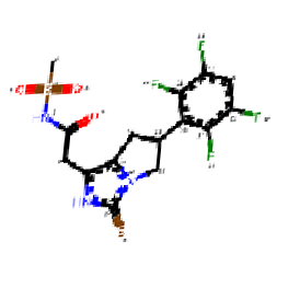 CS(=O)(=O)NC(=O)Cc1[nH]c(=S)n2c1CC(c1c(F)c(F)cc(F)c1F)C2